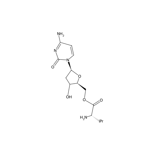 CC(C)[C@H](N)C(=O)OC[C@@H]1O[C@H](n2ccc(N)nc2=O)CC1O